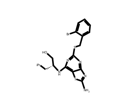 CC(C)C[C@H](CO)Nc1nc(SCc2ccccc2Br)nc2nc(N)sc12